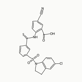 N#Cc1ccc(NC(=S)c2cccc(S(=O)(=O)N3CCc4cc(Cl)ccc43)c2)c(C(=O)O)c1